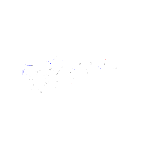 C=CC(=O)N1CC2(CCN(c3ncnc(-c4c(C)ccc5[nH]ncc45)c3CO)C2)C1